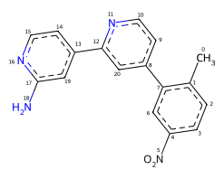 Cc1ccc([N+](=O)[O-])cc1-c1ccnc(-c2ccnc(N)c2)c1